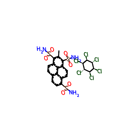 Cc1c(S(N)(=O)=O)c2ccc3ccc(S(N)(=O)=O)c4ccc(c1S(N)(=O)=O)c2c34.Cl[C@H]1[C@H](Cl)[C@@H](Cl)[C@@H](Cl)[C@H](Cl)[C@H]1Cl